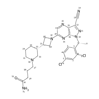 C[C@H](c1ccc(Cl)cc1Cl)n1nc(C#N)c2ncc(N3CC([C@H]4CCCN(CCCC(N)=O)C4)C3)nc21